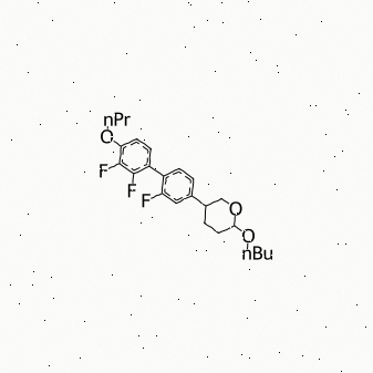 CCCCOC1CCC(c2ccc(-c3ccc(OCCC)c(F)c3F)c(F)c2)CO1